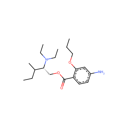 CCCOc1cc(N)ccc1C(=O)OC[C@H](C(C)CC)N(CC)CC